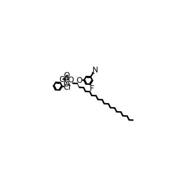 CCCCCCCCCCCCCCCCCC[C@@H](COP(=O)(OC)Oc1ccccc1Cl)Oc1cc(F)cc(C#N)c1